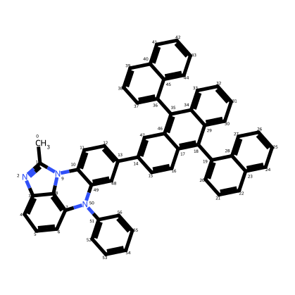 Cc1nc2cccc3c2n1-c1ccc(-c2ccc4c(-c5cccc6ccccc56)c5ccccc5c(-c5cccc6ccccc56)c4c2)cc1N3c1ccccc1